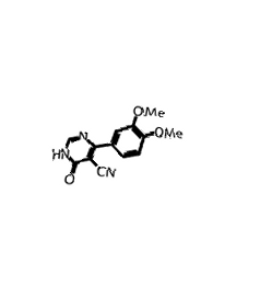 COc1ccc(-c2nc[nH]c(=O)c2C#N)cc1OC